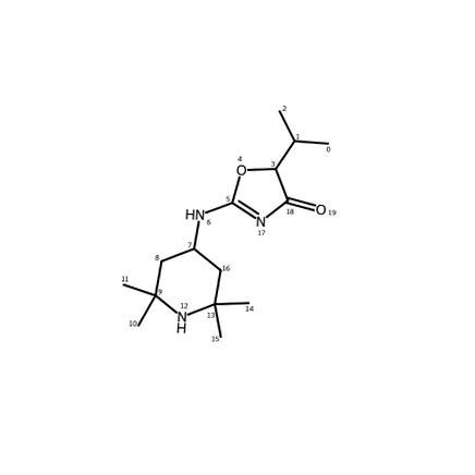 CC(C)C1OC(NC2CC(C)(C)NC(C)(C)C2)=NC1=O